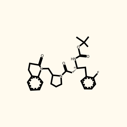 CC(C)(C)OC(=O)N[C@@H](CC(=O)N1CCCC1CN1C(=O)CCc2ccccc21)Cc1ccccc1F